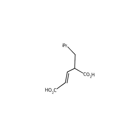 CC(C)CC(C=CC(=O)O)C(=O)O